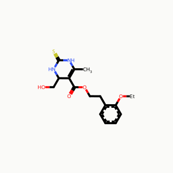 CCOc1ccccc1CCOC(=O)C1=C(C)NC(=S)NC1CO